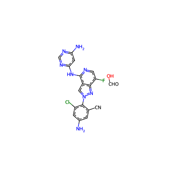 N#Cc1cc(N)cc(Cl)c1-n1cc2c(Nc3cc(N)ncn3)ncc(F)c2n1.O=CO